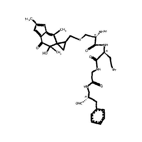 CC(=O)N[C@@H](CSCC1CC12C(C)=C1C=C(C)C=C1C(=O)C2(C)O)C(=O)N[C@@H](CC(C)C)C(=O)NCC(=O)N[C@@H](C=O)Cc1ccccc1